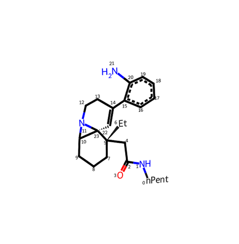 CCCCCNC(=O)C[C@]1(CC)CCCC2N3CCC(c4ccccc4N)=C[C@]231